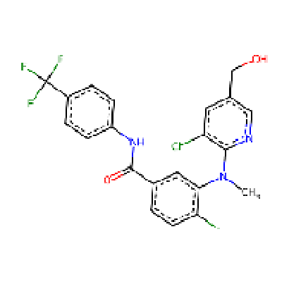 CN(c1cc(C(=O)Nc2ccc(C(F)(F)F)cc2)ccc1F)c1ncc(CO)cc1Cl